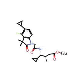 C[C@H](CC(=O)OC(C)(C)C)[C@@H](NC(=O)CN1C(=O)C(C)(C)c2c1ccc(C1CC1)c2F)C1CC1